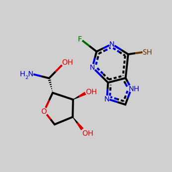 Fc1nc(S)c2[nH]cnc2n1.NC(O)[C@H]1OC[C@H](O)[C@@H]1O